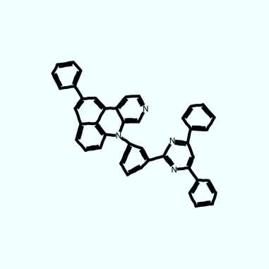 c1ccc(-c2cc3c4c(cccc4c2)N(c2cccc(-c4nc(-c5ccccc5)cc(-c5ccccc5)n4)c2)c2cnccc2-3)cc1